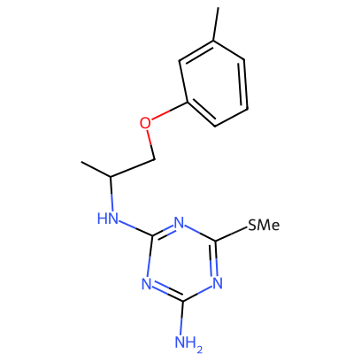 CSc1nc(N)nc(NC(C)COc2cccc(C)c2)n1